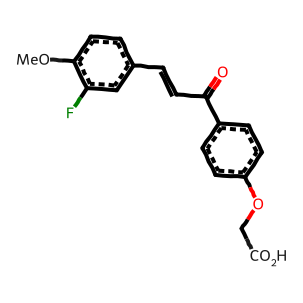 COc1ccc(/C=C/C(=O)c2ccc(OCC(=O)O)cc2)cc1F